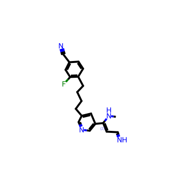 CN/C(=C\C=N)c1cncc(CCCCc2ccc(C#N)cc2F)c1